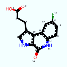 O=C(O)CCc1c[nH]c2c(=O)[nH]c3ccc(F)cc3c12